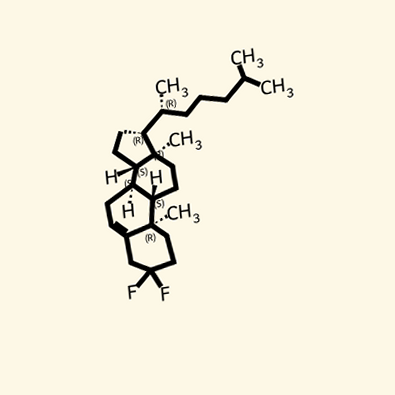 CC(C)CCC[C@@H](C)[C@H]1CC[C@H]2[C@@H]3CC=C4CC(F)(F)CC[C@]4(C)[C@H]3CC[C@]12C